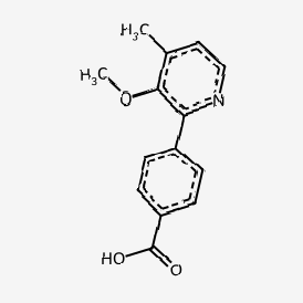 COc1c(C)ccnc1-c1ccc(C(=O)O)cc1